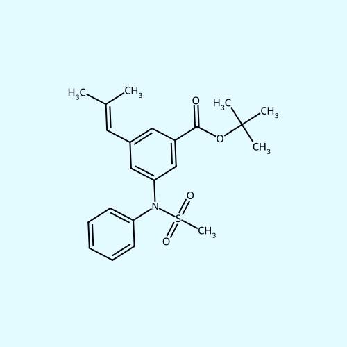 CC(C)=Cc1cc(C(=O)OC(C)(C)C)cc(N(c2ccccc2)S(C)(=O)=O)c1